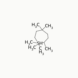 CC1CCC(C)(C)CC[SH]1(C)(C)C